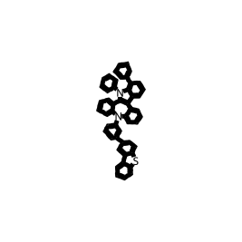 c1ccc(-c2cccc3c4c(n(-c5ccccc5)c23)-c2ccccc2N(c2cccc(-c3ccc5sc6ccccc6c5c3)c2)c2ccccc2-4)cc1